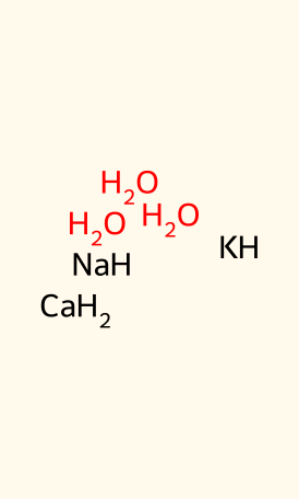 O.O.O.[CaH2].[KH].[NaH]